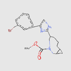 CC(C)(C)OC(=O)N1C(c2nc(-c3cccc(Br)c3)c[nH]2)CC2CC21